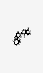 O=C(Nc1ccnc(Br)c1F)N1CCc2nn3c(c2C1)C(F)(F)CCCC3